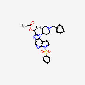 CC(=O)OC(C)c1nc2cnc3c(ccn3S(=O)(=O)c3ccccc3)c2n1C1CCN(Cc2ccccc2)CC1